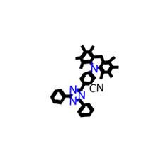 Cc1c(C)c(C)c2c(c1C)Cc1c(C)c(C)c(C)c(C)c1N2c1ccc(-c2nc(-c3ccccc3)nc(-c3ccccc3)n2)c(C#N)c1